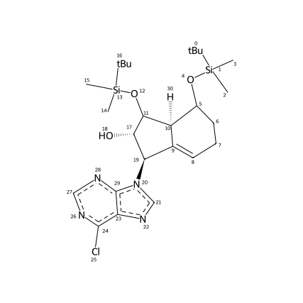 CC(C)(C)[Si](C)(C)OC1CCC=C2[C@H]1C(O[Si](C)(C)C(C)(C)C)[C@@H](O)[C@@H]2n1cnc2c(Cl)ncnc21